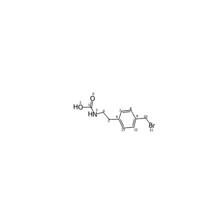 O=C(O)NCCc1ccc(CBr)cc1